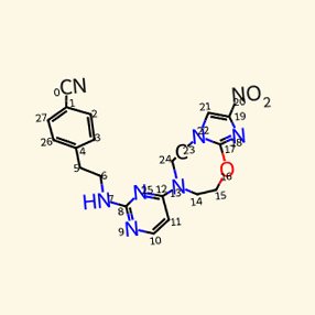 N#Cc1ccc(CCNc2nccc(N3CCOc4nc([N+](=O)[O-])cn4CC3)n2)cc1